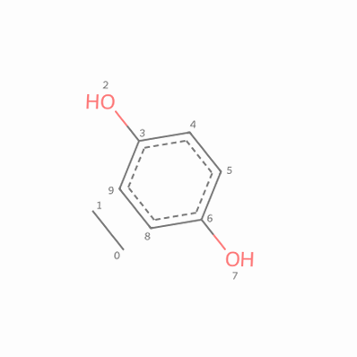 CC.Oc1ccc(O)cc1